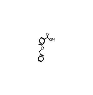 O=C(O)C1=CC2C=C(OCC3=CC4C=CC3C4)C1C2